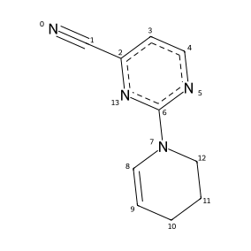 N#Cc1ccnc(N2C=CCCC2)n1